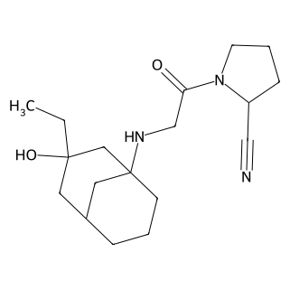 CCC1(O)CC2CCCC(NCC(=O)N3CCCC3C#N)(C2)C1